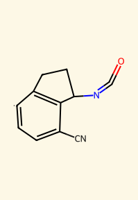 N#Cc1cc[c]c2c1C(N=C=O)CC2